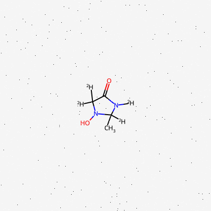 [2H]N1C(=O)C([2H])([2H])N(O)C1([2H])C